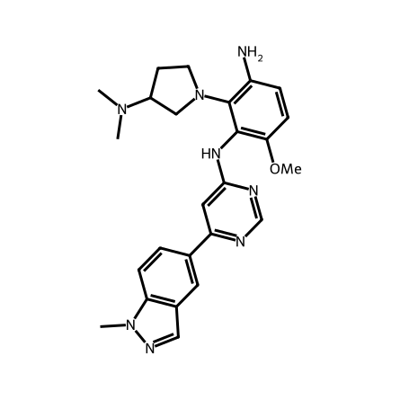 COc1ccc(N)c(N2CCC(N(C)C)C2)c1Nc1cc(-c2ccc3c(cnn3C)c2)ncn1